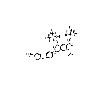 CC(C)Cc1cc(CNc2ccc(Oc3ccc(N)cc3)cc2)c(C(=O)OCC(O)(C(F)(F)F)C(F)(F)F)cc1C(=O)OCC(O)(C(F)(F)F)C(F)(F)F